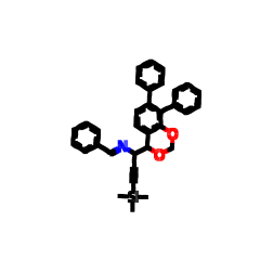 C[Si](C)(C)C#CC(N=Cc1ccccc1)C1OCOc2c1ccc(-c1ccccc1)c2-c1ccccc1